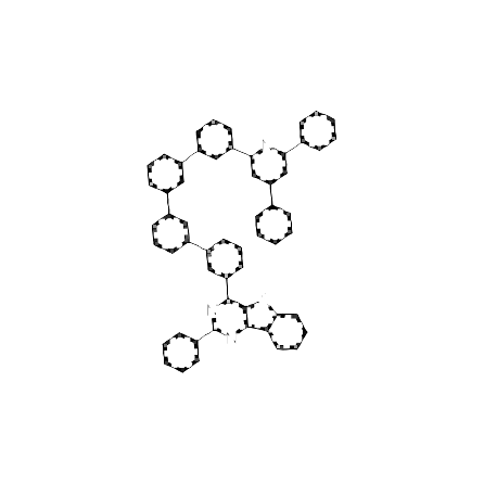 c1ccc(-c2cc(-c3ccccc3)nc(-c3cccc(-c4cccc(-c5cccc(-c6cccc(-c7nc(-c8ccccc8)nc8c7sc7ccccc78)c6)c5)c4)c3)c2)cc1